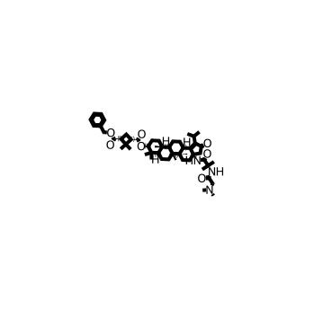 CC(C)C1=C2[C@H]3CC[C@@H]4[C@@]5(C)CC[C@H](OC(=O)[C@H]6C[C@@H](C(=O)OCc7ccccc7)C6(C)C)C(C)(C)[C@@H]5CC[C@@]4(C)[C@]3(C)CC[C@@]2(NC(=O)C(C)(C)NC(=O)CN(C)C)CC1=O